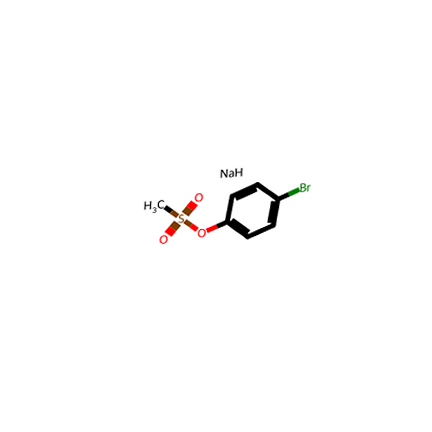 CS(=O)(=O)Oc1ccc(Br)cc1.[NaH]